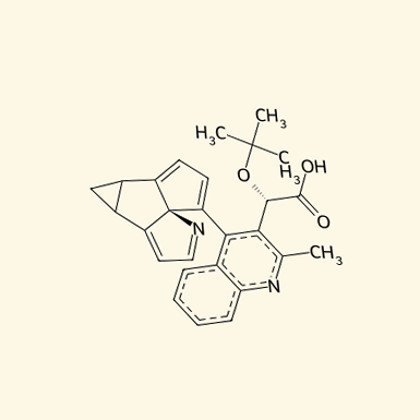 Cc1nc2ccccc2c(C2=CC=C3C4CC4C4=CC=N[C@@]243)c1[C@H](OC(C)(C)C)C(=O)O